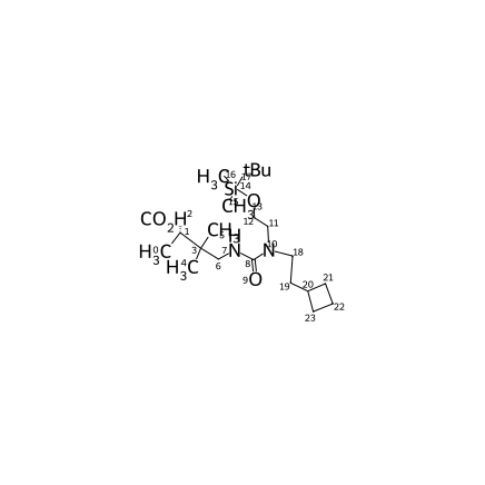 C[C@H](C(=O)O)C(C)(C)CNC(=O)N(CCO[Si](C)(C)C(C)(C)C)CCC1CCC1